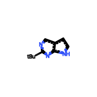 CC(C)(C)c1ncc2cc[nH]c2n1